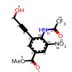 COC(=O)c1cc(C#CCO)c(NC(=O)C(F)(F)F)c([N+](=O)[O-])c1